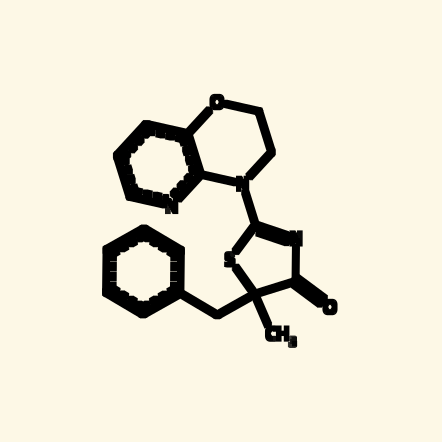 CC1(Cc2ccccc2)SC(N2CCOc3cccnc32)=NC1=O